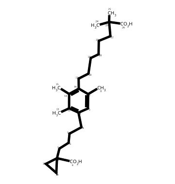 Cc1cc(CCCCC2(C(=O)O)CC2)c(C)c(C)c1CCCCCCC(C)(C)C(=O)O